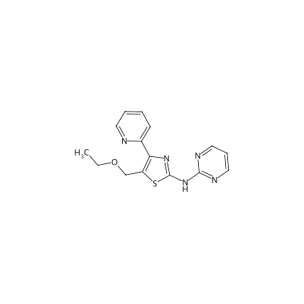 CCOCc1sc(Nc2ncccn2)nc1-c1ccccn1